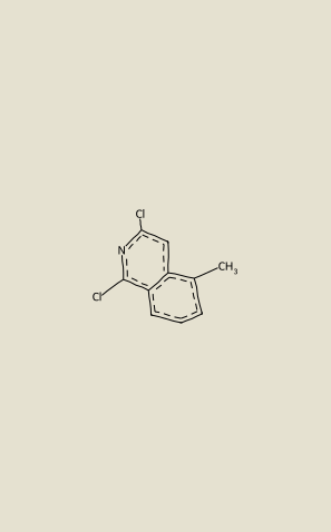 Cc1cccc2c(Cl)nc(Cl)cc12